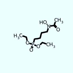 CCOP(=O)(CCCCN(O)C(C)=O)OCC